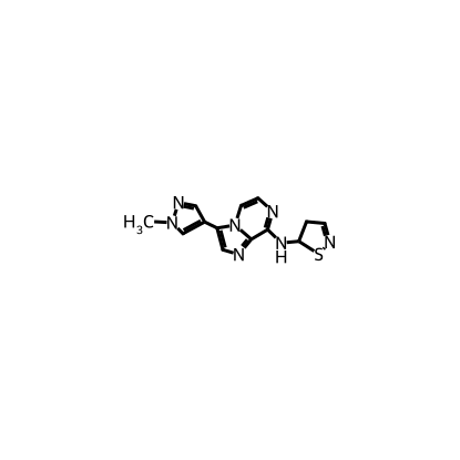 Cn1cc(-c2cnc3c(NC4CC=NS4)nccn23)cn1